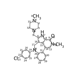 CN1CCN(Cc2[nH]c3c(=O)n(C)cc4c3c2CN(c2ccc(Cl)cc2)c2ccccc2-4)CC1